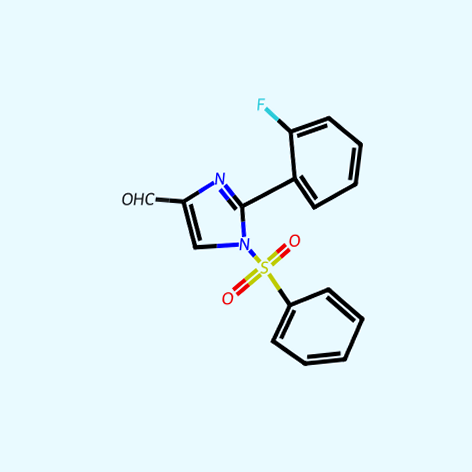 O=Cc1cn(S(=O)(=O)c2ccccc2)c(-c2ccccc2F)n1